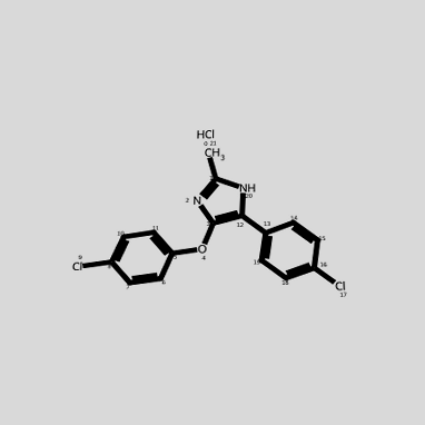 Cc1nc(Oc2ccc(Cl)cc2)c(-c2ccc(Cl)cc2)[nH]1.Cl